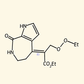 CCOOC/C(C(=O)OCC)=C1/CCNC(=O)c2[nH]ccc21